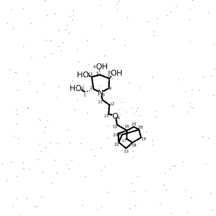 OC[C@@H]1[C@@H](O)[C@H](O)[C@@H](O)CN1CCCOCC12CC3CC(CC(C3)C1)C2